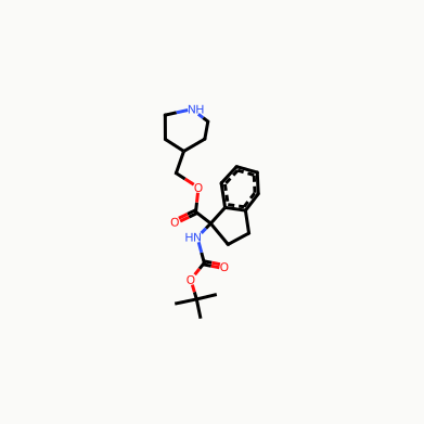 CC(C)(C)OC(=O)NC1(C(=O)OCC2CCNCC2)CCc2ccccc21